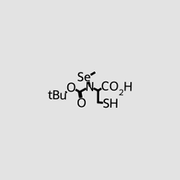 C[Se]N(C(=O)OC(C)(C)C)C(CS)C(=O)O